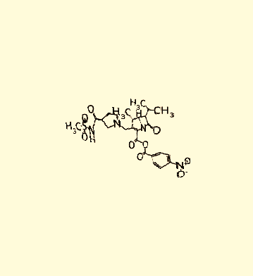 CC(C)[C@H]1C(=O)N2C(C(=O)OC(=O)c3ccc([N+](=O)[O-])cc3)=C(CN3CC[C@H](C(=O)NS(C)(=O)=O)C3)[C@H](C)[C@H]12